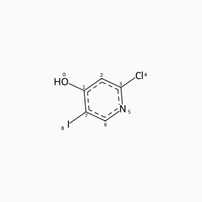 Oc1cc(Cl)ncc1I